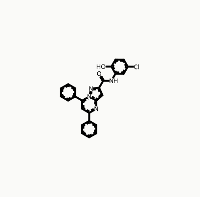 O=C(Nc1cc(Cl)ccc1O)c1cc2nc(-c3ccccc3)cc(-c3ccccc3)n2n1